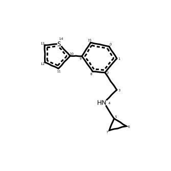 c1cc(CNC2CC2)cc(-c2cccs2)c1